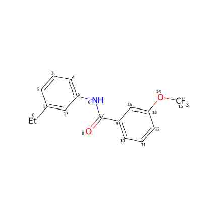 CCc1cccc(NC(=O)c2cccc(OC(F)(F)F)c2)c1